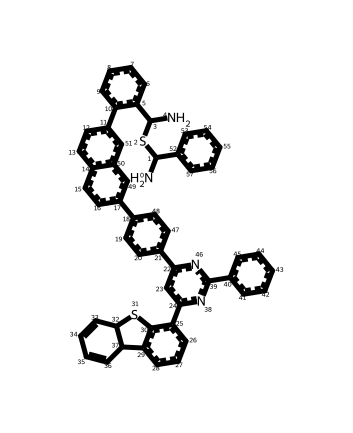 NC(SC(N)c1ccccc1-c1ccc2ccc(-c3ccc(-c4cc(-c5cccc6c5SC5C=CC=CC65)nc(-c5ccccc5)n4)cc3)cc2c1)c1ccccc1